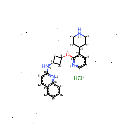 Cl.c1cnc(O[C@H]2C[C@H](Nc3ccc4ccccc4n3)C2)c(C2CCNCC2)c1